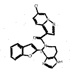 O=C(c1cnn2cc(Cl)ccc12)N1CCc2[nH]cnc2[C@H]1c1cc2ccccc2o1